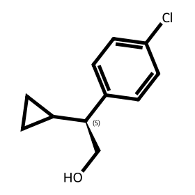 OC[C@H](c1ccc(Cl)cc1)C1CC1